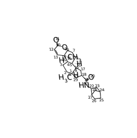 C[C@]12CC[C@@H]3[C@@H](CCC4OC(=O)C=C[C@@]43C)[C@@H]1CC(C(=O)NC1CC3CCC1C3)C2